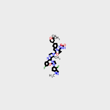 C[C@H]1c2c(-n3ccn(-c4ccc5c(cnn5C)c4F)c3=O)c(-c3ccc(F)cc3)nn2CCN1C(=O)c1cc2cc([C@@H]3CCOC(C)(C)C3)ccc2n1C1(c2noc(=O)[nH]2)CC1